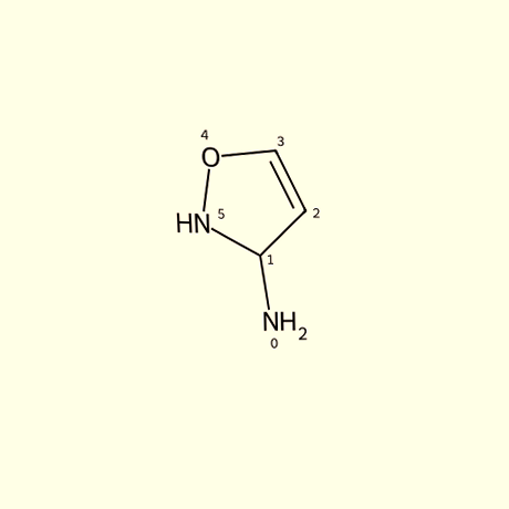 NC1C=CON1